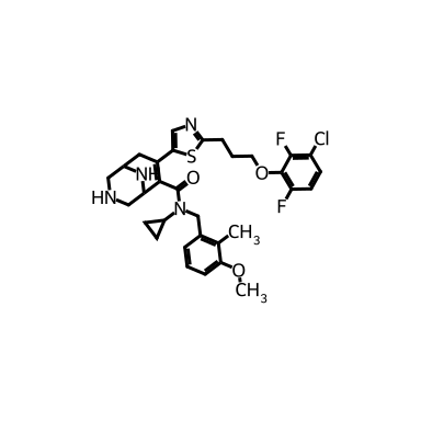 COc1cccc(CN(C(=O)C2=C(c3cnc(CCCOc4c(F)ccc(Cl)c4F)s3)CC3CNCC2N3)C2CC2)c1C